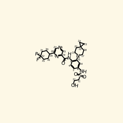 O=C(Nc1ccc(NS(=O)(=O)CCO)cc1N1CCC2(CC1)CC2)c1cncc(C2CCC(F)(F)CC2)n1